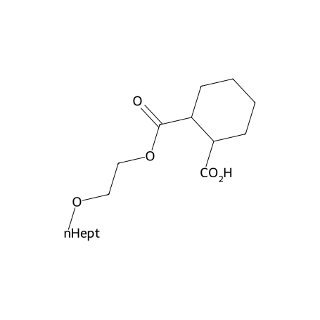 CCCCCCCOCCOC(=O)C1CCCCC1C(=O)O